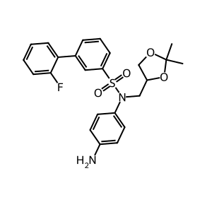 CC1(C)OCC(CN(c2ccc(N)cc2)S(=O)(=O)c2cccc(-c3ccccc3F)c2)O1